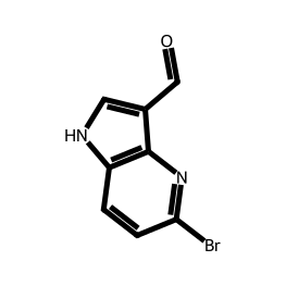 O=Cc1c[nH]c2ccc(Br)nc12